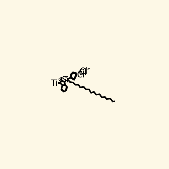 CCCCCCCCCCCCCCCCCC[Si](C)(c1ccccc1)C1C(C)[CH]([Ti+3])C2C=CC=CC21.[Cl-].[Cl-].[Cl-]